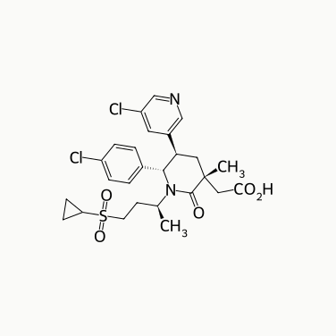 C[C@@H](CCS(=O)(=O)C1CC1)N1C(=O)[C@@](C)(CC(=O)O)C[C@H](c2cncc(Cl)c2)[C@H]1c1ccc(Cl)cc1